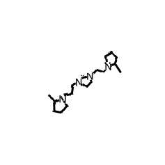 CC1CCCN1CCCN1[C]N(CCN2CCCC2C)CC1